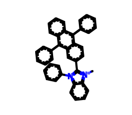 C[n+]1c(-c2ccc3c(-c4ccccc4)c4ccccc4c(-c4ccccc4)c3c2)n(-c2ccccc2)c2ccccc21